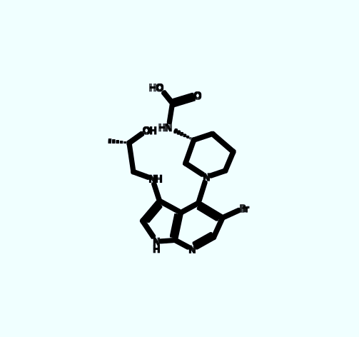 C[C@H](O)CNc1c[nH]c2ncc(Br)c(N3CCC[C@@H](NC(=O)O)C3)c12